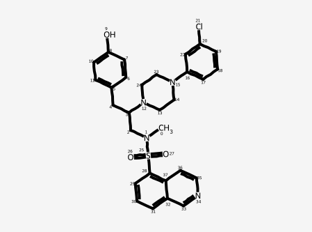 CN(CC(Cc1ccc(O)cc1)N1CCN(c2cccc(Cl)c2)CC1)S(=O)(=O)c1cccc2cnccc12